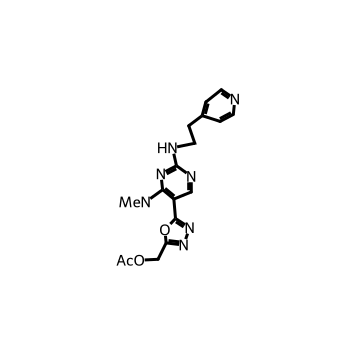 CNc1nc(NCCc2ccncc2)ncc1-c1nnc(COC(C)=O)o1